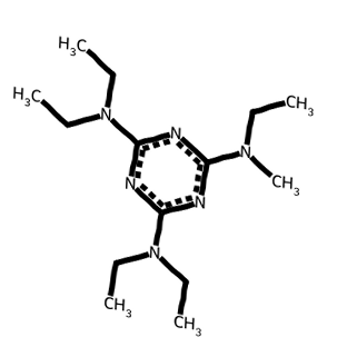 CCN(C)c1nc(N(CC)CC)nc(N(CC)CC)n1